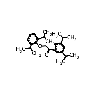 CC(C)c1[c]c(C(C)C)cc(C(=O)COc2c(C(C)C)cccc2C(C)C)c1